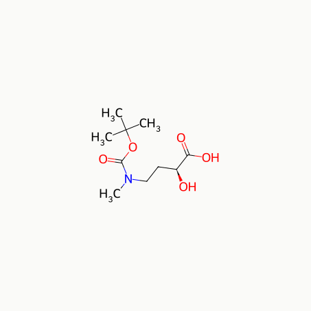 CN(CC[C@H](O)C(=O)O)C(=O)OC(C)(C)C